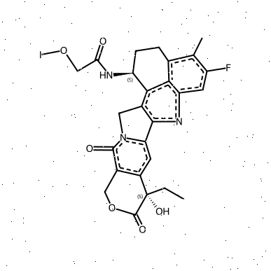 CC[C@@]1(O)C(=O)OCc2c1cc1n(c2=O)Cc2c-1nc1cc(F)c(C)c3c1c2[C@@H](NC(=O)COI)CC3